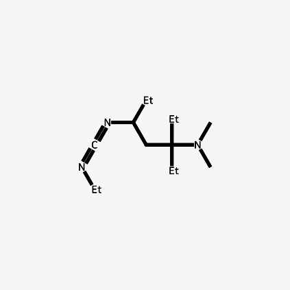 CCN=C=NC(CC)CC(CC)(CC)N(C)C